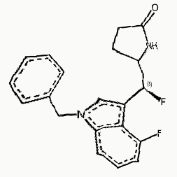 O=C1CCC([C@@H](F)c2cn(Cc3ccccc3)c3cccc(F)c23)N1